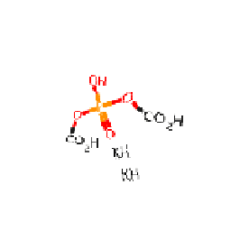 O=C(O)OP(=O)(O)OC(=O)O.[KH].[KH]